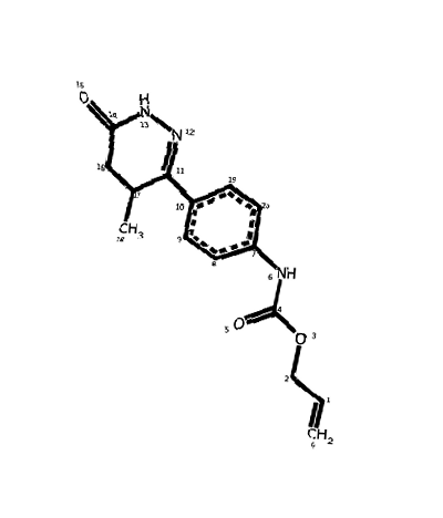 C=CCOC(=O)Nc1ccc(C2=NNC(=O)CC2C)cc1